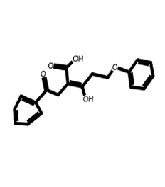 O=C(O)C(CC(=O)c1ccccc1)=C(O)CCOc1ccccc1